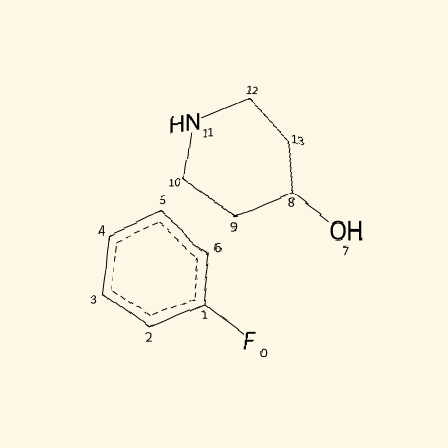 Fc1ccccc1.OC1CCNCC1